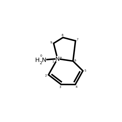 N[N+]12C=CC=CC1CCC2